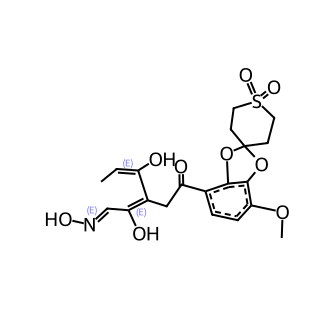 C\C=C(O)/C(CC(=O)c1ccc(OC)c2c1OC1(CCS(=O)(=O)CC1)O2)=C(O)\C=N\O